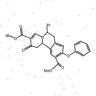 COC(=O)c1cc2c(cc1Oc1ccccc1)CC(C(C)C)N1C=C(C(=O)OC(C)(C)C)C(=O)CC21